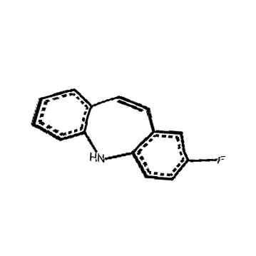 Fc1ccc2c(c1)C=Cc1ccccc1N2